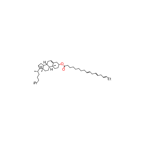 CCC=CCC=CCC=CCCCCCCCC(=O)O[C@H]1CC[C@@]2(C)C(=CC[C@H]3[C@@H]4CC[C@H]([C@H](C)CCCC(C)C)[C@@]4(C)CC[C@@H]32)C1